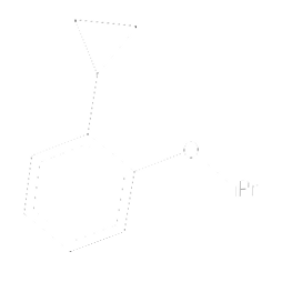 CC(C)Oc1ccc[c]c1C1CC1